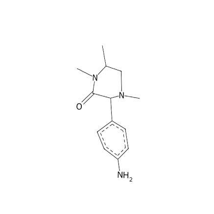 CC1CN(C)C(c2ccc(N)cc2)C(=O)N1C